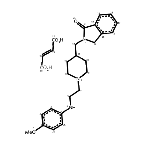 COc1ccc(NCCN2CCC(CN3Cc4ccccc4C3=O)CC2)cc1.O=C(O)C=CC(=O)O